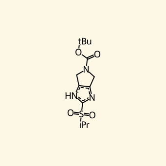 CC(C)S(=O)(=O)c1nc2c([nH]1)CN(C(=O)OC(C)(C)C)C2